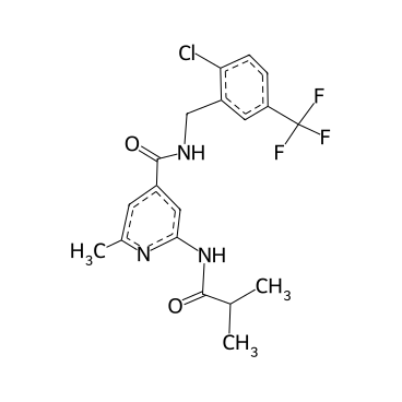 Cc1cc(C(=O)NCc2cc(C(F)(F)F)ccc2Cl)cc(NC(=O)C(C)C)n1